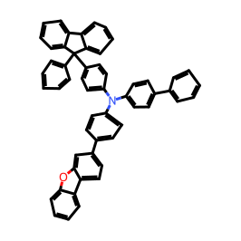 c1ccc(-c2ccc(N(c3ccc(-c4ccc5c(c4)oc4ccccc45)cc3)c3ccc(C4(c5ccccc5)c5ccccc5-c5ccccc54)cc3)cc2)cc1